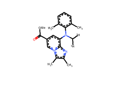 [2H]C([2H])N(c1c(C)cccc1C)c1cc(C(=O)OC)cn2c(C)c(C)nc12